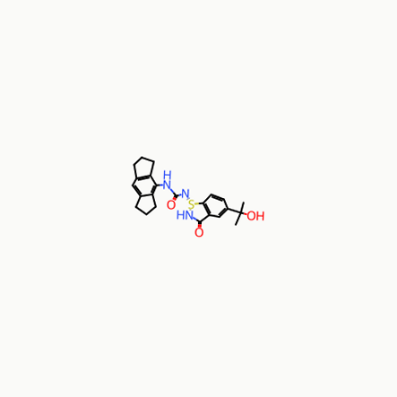 CC(C)(O)c1ccc2c(c1)C(=O)N/S2=N\C(=O)Nc1c2c(cc3c1CCC3)CCC2